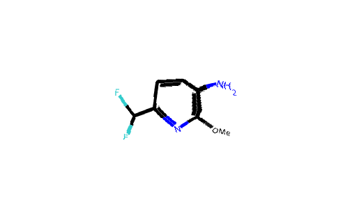 COc1nc(C(F)F)ccc1N